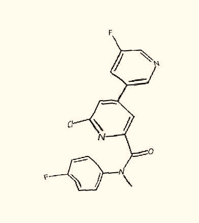 CN(C(=O)c1cc(-c2cncc(F)c2)cc(Cl)n1)c1ccc(F)cc1